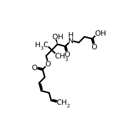 C=CC/C=C\CC(=O)OCC(C)(C)[C@@H](O)C(=O)NCCC(=O)O